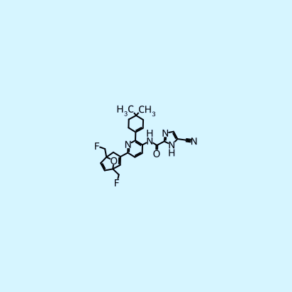 CC1(C)CC=C(c2nc(C3=CC4(CF)C=CC(CF)(C3)O4)ccc2NC(=O)c2ncc(C#N)[nH]2)CC1